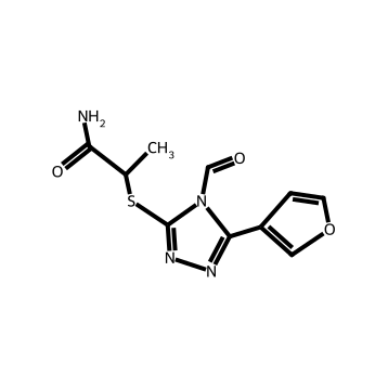 CC(Sc1nnc(-c2ccoc2)n1C=O)C(N)=O